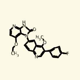 CCOc1ccnc2[nH]c(=O)n(-c3ccc4ncc(-c5ccc(F)cc5)c(OC)c4c3)c12